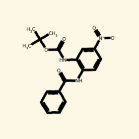 CC(C)(C)OC(=O)Nc1cc([N+](=O)[O-])ccc1NC(=O)c1ccccc1